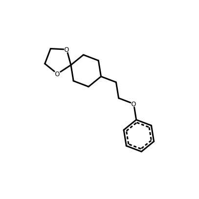 c1ccc(OCCC2CCC3(CC2)OCCO3)cc1